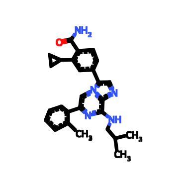 Cc1ccccc1-c1cn2c(-c3ccc(C(N)=O)c(C4CC4)c3)cnc2c(NCC(C)C)n1